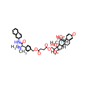 C[C@@H]1C[C@H]2[C@@H]3CCC4=CC(=O)C=C[C@]4(C)[C@@]3(F)[C@@H](O)C[C@]2(C)[C@@]1(O)C(=O)COC(=O)CCC(=O)OCc1ccc(C(C(=O)Nc2ccc3ccccc3c2)N(C)C)cc1